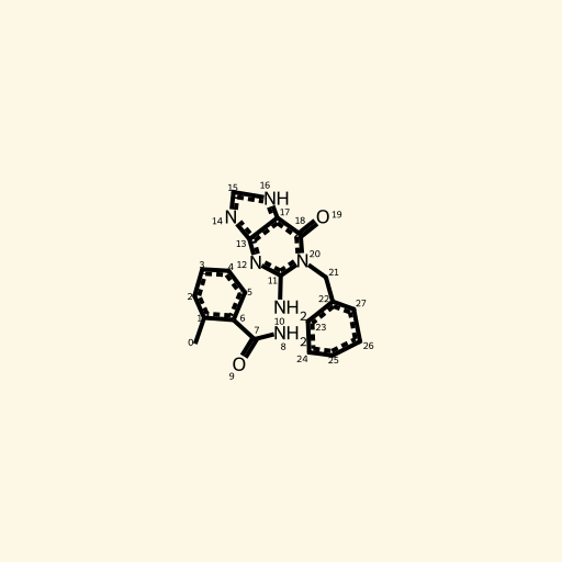 Cc1ccccc1C(N)=O.Nc1nc2nc[nH]c2c(=O)n1Cc1ccccc1